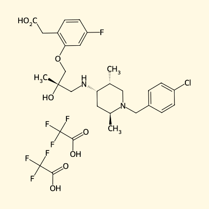 C[C@@H]1CN(Cc2ccc(Cl)cc2)[C@@H](C)C[C@@H]1NC[C@](C)(O)COc1cc(F)ccc1CC(=O)O.O=C(O)C(F)(F)F.O=C(O)C(F)(F)F